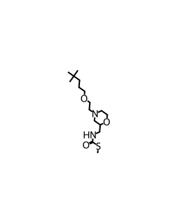 CSC(=O)NCC1CN(CCOCCCC(C)(C)C)CCO1